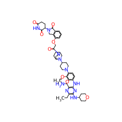 CCc1nc(C(N)=O)c(Nc2ccc(N3CCC(N4CC5CCC4CN5C(=O)COc4cccc5c4CN(C4CCC(=O)NC4=O)C5=O)CC3)c(OC)c2)nc1NC1CCOCC1